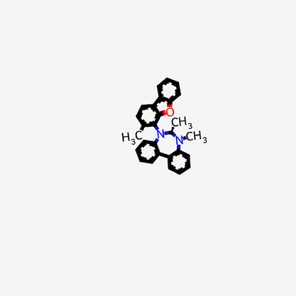 Cc1ccc2c(oc3ccccc32)c1N1c2ccccc2-c2ccccc2N(C)[C@@H]1C